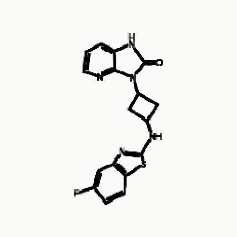 O=c1[nH]c2cccnc2n1C1CC(Nc2nc3cc(F)ccc3s2)C1